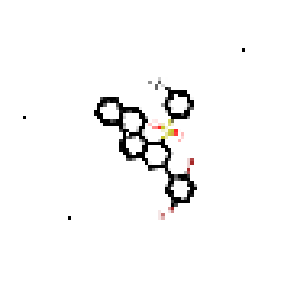 O=S(=O)(c1cccc(C(F)(F)F)c1)C1CC(c2cc(Br)ccc2Br)Cc2ccc3c(ccc4ccccc43)c21